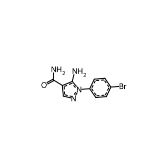 NC(=O)c1cnn(-c2ccc(Br)cc2)c1N